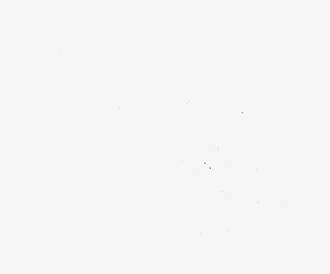 CCCCCCCCC[N+](c1ccccc1)(c1ccccc1)C(C)(C)CCC